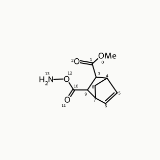 COC(=O)C1C2C=CC(C2)C1C(=O)ON